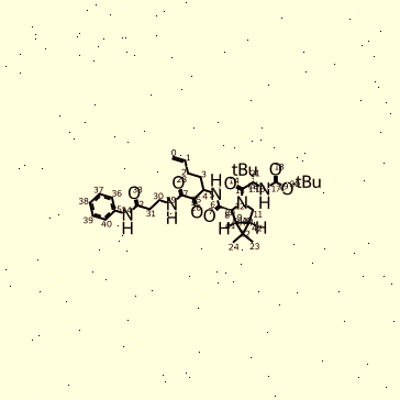 C=CCCC(NC(=O)[C@@H]1[C@@H]2[C@H](CN1C(=O)[C@@H](NC(=O)OC(C)(C)C)C(C)(C)C)C2(C)C)C(=O)C(=O)NCCC(=O)Nc1ccccc1